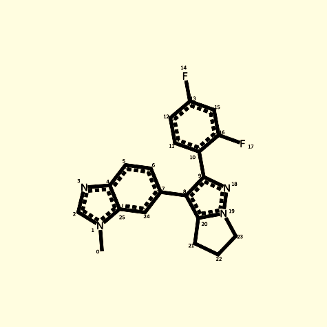 Cn1cnc2ccc(-c3c(-c4ccc(F)cc4F)nn4c3CCC4)cc21